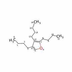 CCCCc1[c]oc(CCCC)c1CCCC